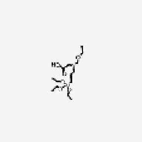 CCOCN(CCC[Si](OCC)(OCC)OCC)CC(=O)O